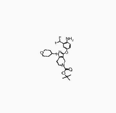 CC(C)(C)OC(=O)N1CCc2c(c(Oc3ccc(N)c(C(F)F)c3)nn2C2CCOCC2)C1